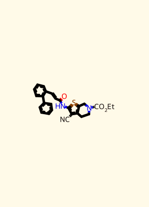 CCOC(=O)N1CCc2c(sc(NC(=O)C=Cc3ccccc3-c3ccccc3)c2C#N)C1